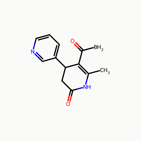 BC(=O)C1=C(C)NC(=O)CC1c1cccnc1